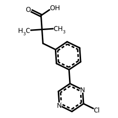 CC(C)(Cc1cccc(-c2cncc(Cl)n2)c1)C(=O)O